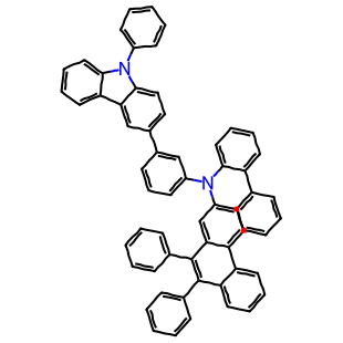 c1ccc(-c2ccccc2N(c2cccc(-c3ccc4c(c3)c3ccccc3n4-c3ccccc3)c2)c2ccc3c(c2)c(-c2ccccc2)c(-c2ccccc2)c2ccccc23)cc1